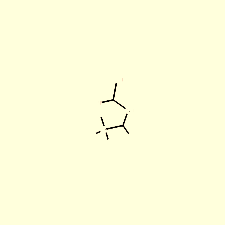 CCC(NC(C)N)[Si](C)(C)[O]